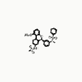 COc1cccc2c1-c1ccc(NS(C)(=O)=O)cc1C(c1cccc(N(C)S(=O)(=O)c3ccccc3)c1)O2